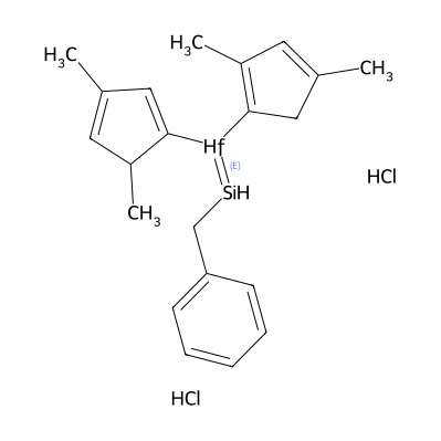 CC1=CC(C)[C](/[Hf](=[SiH]\Cc2ccccc2)[C]2=C(C)C=C(C)C2)=C1.Cl.Cl